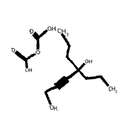 CCCC(O)(C#CCO)CCC.O=C(O)OC(=O)O